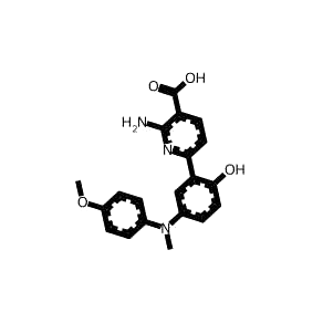 COc1ccc(N(C)c2ccc(O)c(-c3ccc(C(=O)O)c(N)n3)c2)cc1